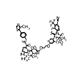 Cc1cc(OCCOCC(=O)NC(C(=O)N2CCC[C@H]2C(=O)NCc2ccc(-c3scnc3C)cc2)C(C)(C)C)ncc1N1C(=S)N(c2ccc(C#N)c(C(F)(F)F)c2F)C(=O)C1(C)C